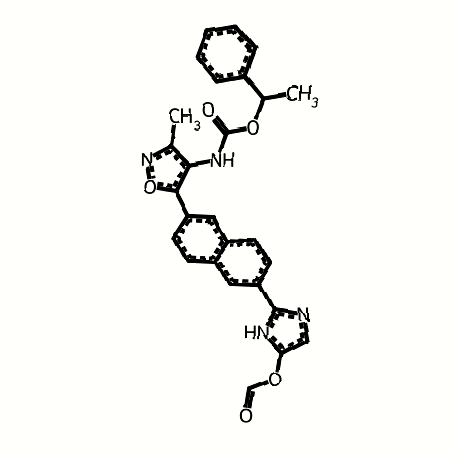 Cc1noc(-c2ccc3cc(-c4ncc(OC=O)[nH]4)ccc3c2)c1NC(=O)OC(C)c1ccccc1